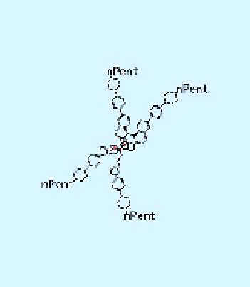 CCCCCC1CCC(c2ccc(OCCCC(=O)Oc3ccc4cc(-c5ccc(C6CCC(CCCCC)CC6)cc5)ccc4c3-c3c(OC(=O)CCCOc4ccc(C5CCC(CCCCC)CC5)cc4)ccc4cc(-c5ccc(C6CCC(CCCCC)CC6)cc5)ccc34)cc2)CC1